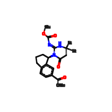 CCC1(CC)CC(=O)N([C@@H]2CCCc3ccc(C(=O)OC)cc32)/C(=N/C(=O)OC(C)(C)C)N1